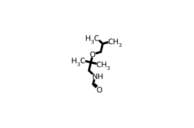 CC(C)COC(C)(C)CNC=O